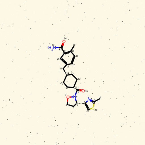 Cc1nc([C@@H]2CCON2C(=O)[C@H]2CC[C@H](Cc3ccc(C)c(C(N)=O)c3)CC2)cs1